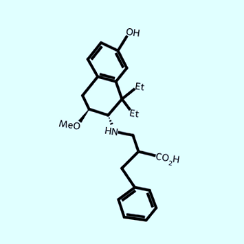 CCC1(CC)c2cc(O)ccc2C[C@H](OC)[C@H]1NCC(Cc1ccccc1)C(=O)O